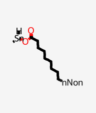 CCCCCCCCCCCCCCCCCC(=O)[O][SnH]([CH3])[CH3]